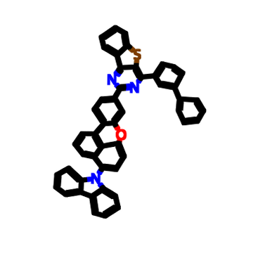 c1ccc(-c2cccc(-c3nc(-c4ccc5c(c4)Oc4ccc(-n6c7ccccc7c7ccccc76)c6cccc-5c46)nc4c3sc3ccccc34)c2)cc1